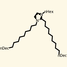 CCCCCCCCCCCCCCCCCCCc1n(CCCCCC)cc[n+]1CCCCCCCCCCCCCCCCCCC